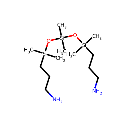 C[Si](C)(CCCN)O[Si](C)(C)O[Si](C)(C)CCCN